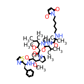 CC[C@H](C)[C@@H]([C@@H](CC(=O)N1CCC[C@H]1[C@H](OC)[C@@H](C)C(=O)N[C@@H](Cc1ccccc1)c1nccs1)OC)N(C)C(=O)[C@@H](NC(=O)C(C)(C)NCCCCCCN1C(=O)C=CC1=O)C(C)C